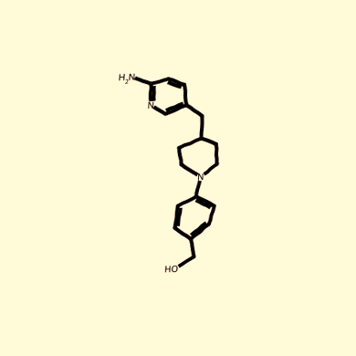 Nc1ccc(CC2CCN(c3ccc(CO)cc3)CC2)cn1